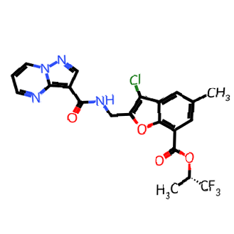 Cc1cc(C(=O)O[C@@H](C)C(F)(F)F)c2oc(CNC(=O)c3cnn4cccnc34)c(Cl)c2c1